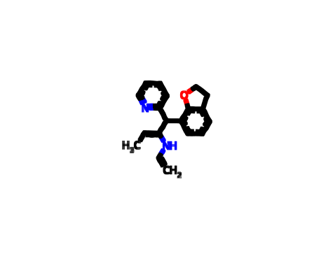 C=CN/C(=C\C)C(c1ccccn1)c1cccc2c1OCC2